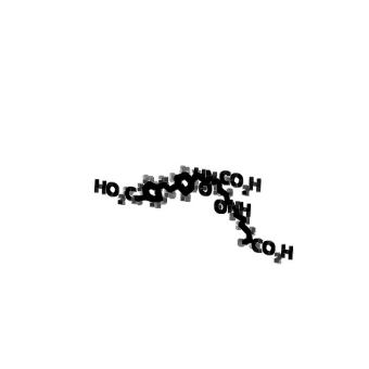 C[C@@H](CCCCNC(=O)CCC(NC(=O)Cc1ccc(CCc2ccc(CC(=O)O)cc2)cc1)C(=O)O)C(=O)O